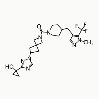 Cn1ncc(CC2CCN(C(=O)N3CC4(CC(n5cnc(C6(O)CC6)n5)C4)C3)CC2)c1C(F)(F)F